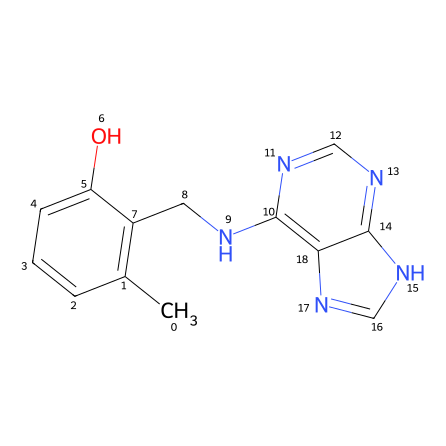 Cc1cccc(O)c1CNc1ncnc2[nH]cnc12